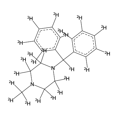 [2H]c1c([2H])c([2H])c(C([2H])(c2c([2H])c([2H])c([2H])c([2H])c2[2H])N2C([2H])([2H])C([2H])([2H])N(C([2H])([2H])[2H])C([2H])([2H])C2([2H])[2H])c([2H])c1[2H]